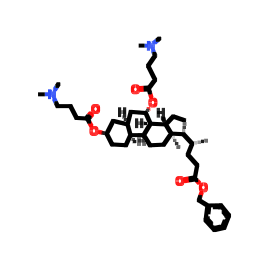 C[C@H](CCC(=O)OCc1ccccc1)[C@H]1CC[C@H]2[C@@H]3[C@@H](OC(=O)CCCN(C)C)C[C@@H]4C[C@H](OC(=O)CCCN(C)C)CC[C@]4(C)[C@H]3CC[C@]12C